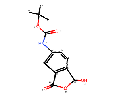 CC(C)(C)OC(=O)Nc1ccc2c(c1)C(=O)OC2O